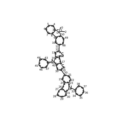 C[Si]1(C)c2ccccc2-c2cc(-c3cc4c(s3)c3sc(-c5ccc6c(c5)c5ccccc5n6-c5ccccc5)cc3n4-c3ccccc3)ccc21